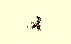 COc1ccc(C2C(C)C(C(=O)NN3CCCC(=O)C3)=NN2c2ccc(Cl)cc2Cl)cc1